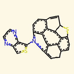 C1=CC2Sc3ccc4c5c3c2c2c1ccc1c2c5c(n1-c1scc2nccnc12)=CC4